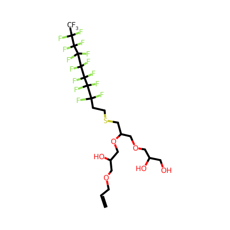 C=CCOCC(O)COC(COCC(O)CO)CSCCC(F)(F)C(F)(F)C(F)(F)C(F)(F)C(F)(F)C(F)(F)C(F)(F)C(F)(F)F